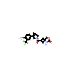 Cc1ccc(C23CC2CN(C(=O)C2CC4(COC(=O)N4)C2)C3)cc1C(F)(F)F